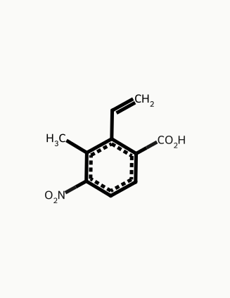 C=Cc1c(C(=O)O)ccc([N+](=O)[O-])c1C